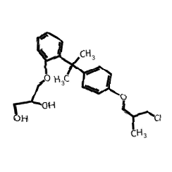 CC(CCl)COc1ccc(C(C)(C)c2ccccc2OCC(O)CO)cc1